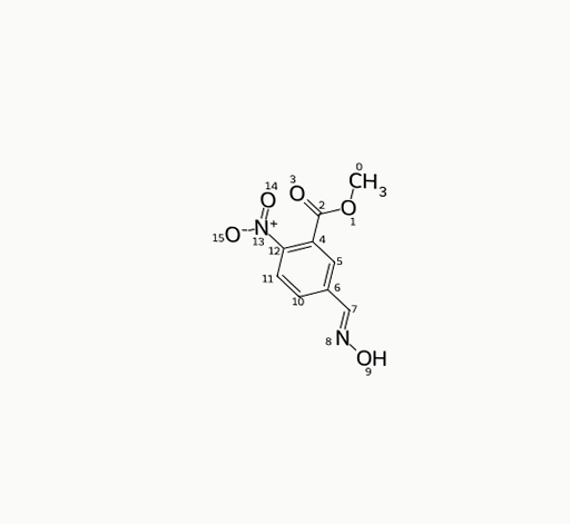 COC(=O)c1cc(/C=N/O)ccc1[N+](=O)[O-]